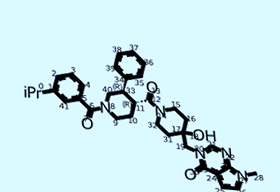 CC(C)c1cccc(C(=O)N2CC[C@@H](C(=O)N3CCC(O)(Cn4cnc5c(ccn5C)c4=O)CC3)[C@H](c3ccccc3)C2)c1